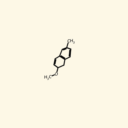 COC1C=Cc2cc(C)ccc2C1